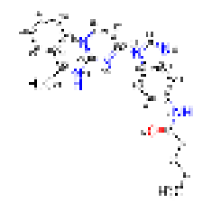 CCCCC(=O)Nc1ccc2c(c1)ncn2-c1ccnc(NC(C)c2ccccc2)n1